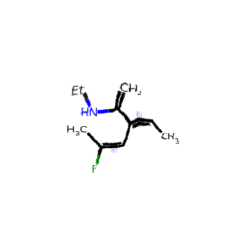 C=C(NCC)C(/C=C(\C)F)=C/C